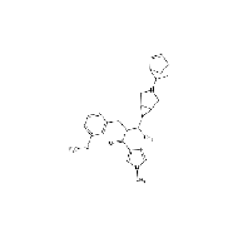 CC(C1C2CN(C3CC4C=CC3C4)CC21)N(Cc1cccc(OC(F)(F)F)c1)C(=O)c1cn(C)cn1